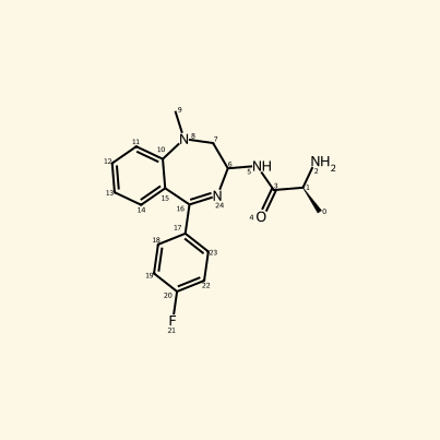 C[C@H](N)C(=O)NC1CN(C)c2ccccc2C(c2ccc(F)cc2)=N1